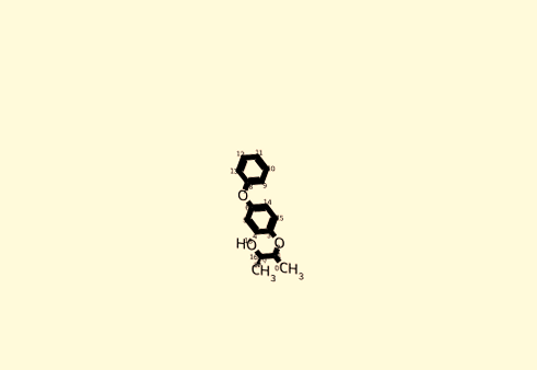 CC(Oc1ccc(Oc2ccccc2)cc1)[C@@H](C)O